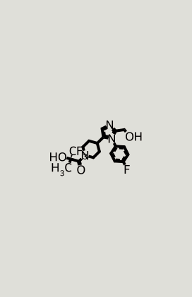 C[C@@](O)(C(=O)N1CCC(c2cnc(CO)n2-c2ccc(F)cc2)CC1)C(F)(F)F